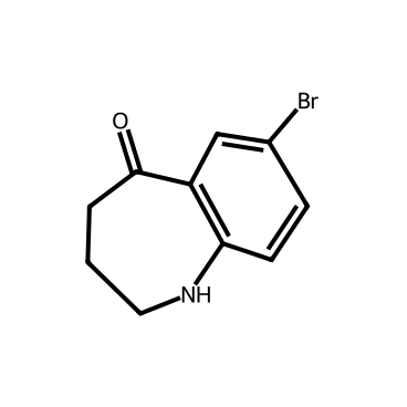 O=C1CCCNc2ccc(Br)cc21